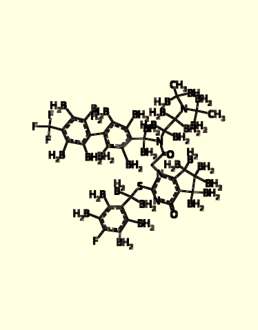 Bc1c(B)c(C(B)(B)Sc2nc(=O)c3c(n2CC(=O)N(C(B)(B)c2c(B)c(B)c(-c4c(B)c(B)c(C(F)(F)F)c(B)c4B)c(B)c2B)C(B)(B)C(B)(B)N(C(B)(B)C)C(B)(B)C)C(B)(B)C(B)(B)C3(B)B)c(B)c(B)c1F